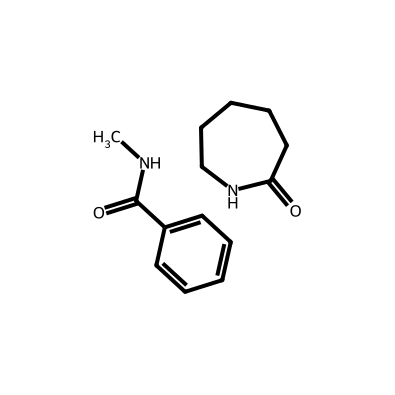 CNC(=O)c1ccccc1.O=C1CCCCCN1